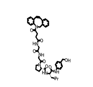 CC(C)C[C@H](NC(=O)[C@@H]1CCCN1C(=O)CNC(=O)CNC(=O)CCC(=O)N1Cc2ccccc2C#Cc2ccccc21)C(=O)Nc1ccc(CO)cc1